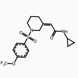 O=C(C=C1CCCN(S(=O)(=O)c2ccc(OC(F)(F)F)cc2)C1)NC1CC1